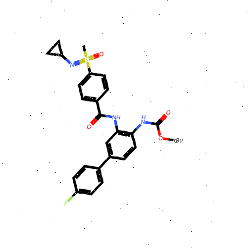 CC(C)(C)OC(=O)Nc1ccc(-c2ccc(F)cc2)cc1NC(=O)c1ccc(S(C)(=O)=NC2CC2)cc1